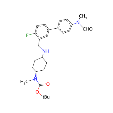 CN(C=O)c1ccc(-c2ccc(F)c(CN[C@H]3CC[C@H](N(C)C(=O)OC(C)(C)C)CC3)c2)cc1